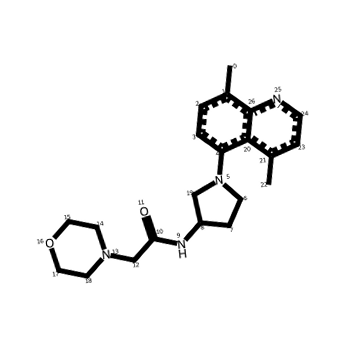 Cc1ccc(N2CCC(NC(=O)CN3CCOCC3)C2)c2c(C)ccnc12